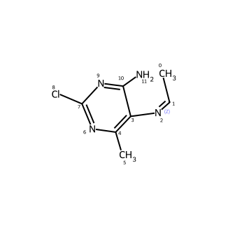 C/C=N\c1c(C)nc(Cl)nc1N